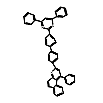 c1ccc(-c2cc(-c3ccccc3)nc(-c3ccc(-c4ccc(-c5cc(-c6ccccc6)c6c(ccc7ccccc76)n5)cc4)cc3)n2)cc1